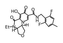 CCN1C(=O)c2c(O)c(=O)c(C(=O)NCc3c(F)cc(C)cc3F)cn2[C@@H]2COC[C@@H]21